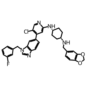 Fc1cccc(Cn2cnc3ccc(-c4cc(N[C@H]5CC[C@H](NCc6ccc7c(c6)OCO7)CC5)ncc4Cl)cc32)c1